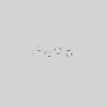 C[N+]1(c2cccc(-c3ccc(Oc4ccc(F)cc4)cc3)n2)C=NC(S(N)(=O)=O)=C1